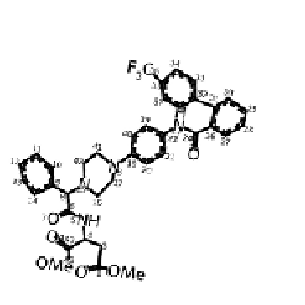 COC(=O)CC(NC(=O)C(c1ccccc1)N1CCN(c2ccc(NC(=O)c3ccccc3-c3ccc(C(F)(F)F)cc3)cc2)CC1)C(=O)OC